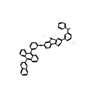 CCC(C)(c1cccc(-c2c3ccccc3c(-c3ccc4ccccc4c3)c3ccccc23)c1)c1ccc2c(c1)C(C)(C)c1cc(-c3cc(OC(C)C)cc(C(C)c4ccccc4)c3)ccc1-2